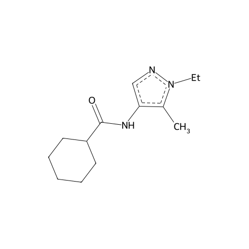 CCn1ncc(NC(=O)C2CCCCC2)c1C